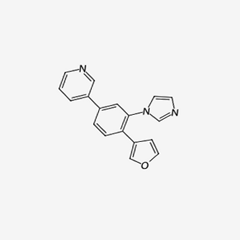 c1cncc(-c2ccc(-c3ccoc3)c(-n3ccnc3)c2)c1